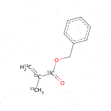 [13CH2]=[13C]([13CH3])[13C](=O)OCc1ccccc1